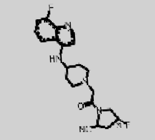 N#CC1C[C@H](F)CN1C(=O)CN1CCC(Nc2ccnc3c(F)cccc23)CC1